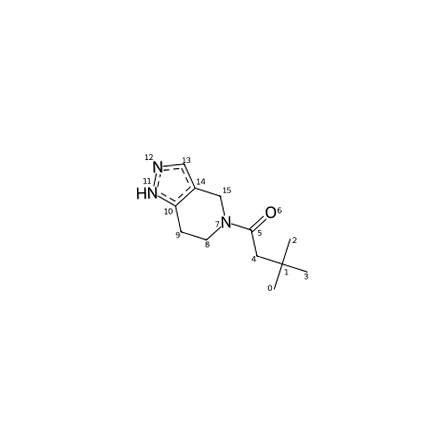 CC(C)(C)CC(=O)N1CCc2[nH]ncc2C1